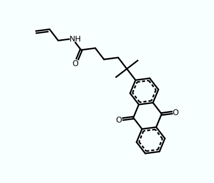 C=CCNC(=O)CCCC(C)(C)c1ccc2c(c1)C(=O)c1ccccc1C2=O